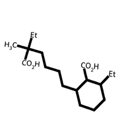 CCC1CCCC(CCCCC(C)(CC)C(=O)O)C1C(=O)O